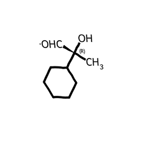 C[C@](O)([C]=O)C1CCCCC1